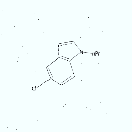 CCCn1ccc2cc(Cl)ccc21